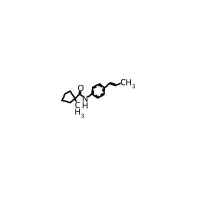 C/C=C/c1ccc(NC(=O)C2(C)CCCC2)cc1